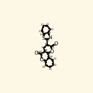 O=c1oc2c(cc1-c1nc3ccccc3s1)c(=O)oc1ccccc12